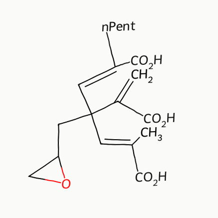 C=C(C(=O)O)C(C=C(C)C(=O)O)(C=C(CCCCC)C(=O)O)CC1CO1